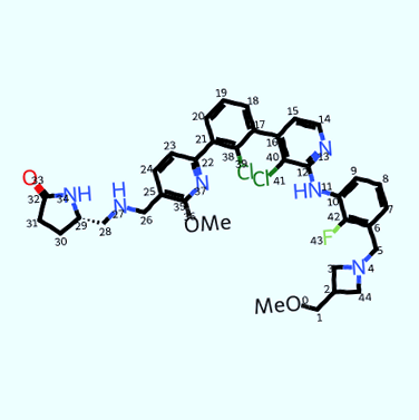 COCC1CN(Cc2cccc(Nc3nccc(-c4cccc(-c5ccc(CNC[C@@H]6CCC(=O)N6)c(OC)n5)c4Cl)c3Cl)c2F)C1